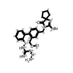 CCCCC1=NC2(CCCC2)C(=O)N1Cc1ccc(-c2ccccc2SNC(=N)/N=N\N)c(COCC)c1